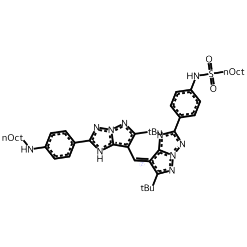 CCCCCCCCNc1ccc(-c2nn3nc(C(C)(C)C)c(/C=c4/c(C(C)(C)C)nn5nc(-c6ccc(NS(=O)(=O)CCCCCCCC)cc6)nc45)c3[nH]2)cc1